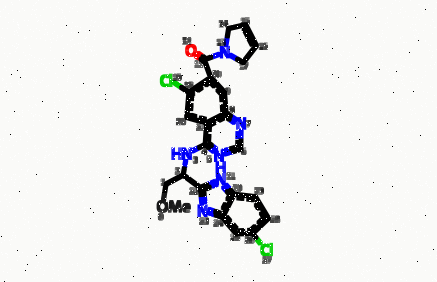 COCC(Nc1ncnc2cc(C(=O)N3CC=CC3)c(Cl)cc12)c1nc2cc(Cl)ccc2[nH]1